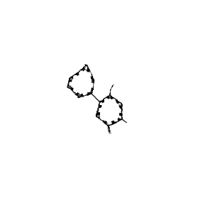 CCc1cc(-c2ccccc2)c(C)cc1O